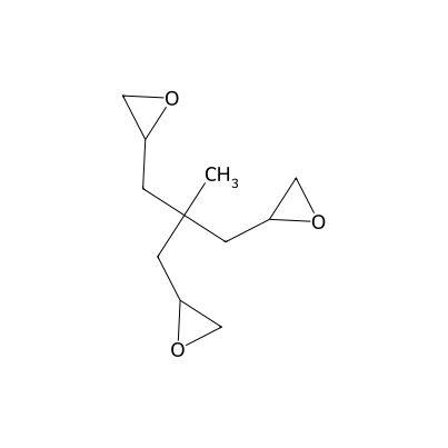 CC(CC1CO1)(CC1CO1)CC1CO1